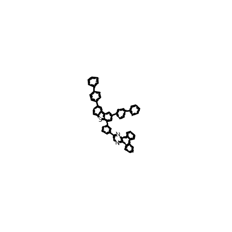 c1ccc(-c2ccc(-c3ccc4sc5c(-c6cccc(-c7cnc8c9ccccc9c9ccccc9c8n7)c6)cc(-c6ccc(-c7ccccc7)cc6)cc5c4c3)cc2)cc1